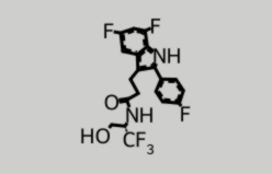 O=C(CCc1c(-c2ccc(F)cc2)[nH]c2c(F)cc(F)cc12)N[C@@H](CO)C(F)(F)F